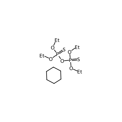 C1CCCCC1.CCOP(=S)(OCC)OP(=S)(OCC)OCC